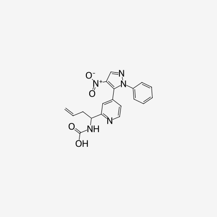 C=CCC(NC(=O)O)c1cc(-c2c([N+](=O)[O-])cnn2-c2ccccc2)ccn1